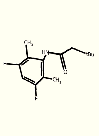 Cc1c(F)[c]c(F)c(C)c1NC(=O)CC(C)(C)C